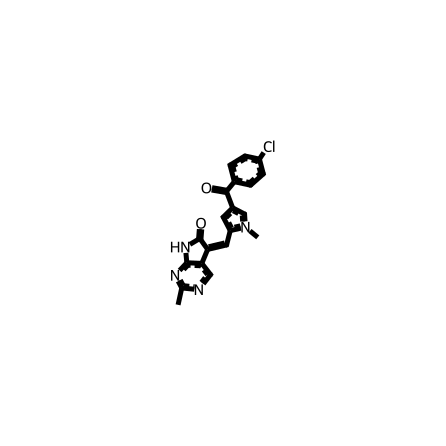 Cc1ncc2c(n1)NC(=O)C2=Cc1cc(C(=O)c2ccc(Cl)cc2)cn1C